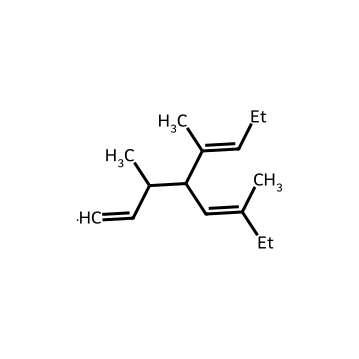 [CH]=CC(C)C(C=C(C)CC)C(C)=CCC